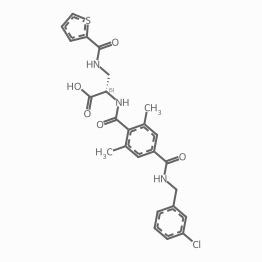 Cc1cc(C(=O)NCc2cccc(Cl)c2)cc(C)c1C(=O)N[C@@H](CNC(=O)c1cccs1)C(=O)O